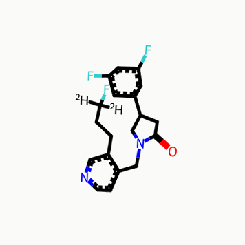 [2H]C([2H])(F)CCc1cnccc1CN1CC(c2cc(F)cc(F)c2)CC1=O